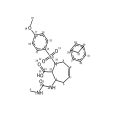 CNC(=O)NC1CC=CCN(S(=O)(=O)c2ccc(OC)cc2)C1C(=O)O.c1cc2cc(c1)C2